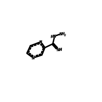 N=C(NN)c1cnccn1